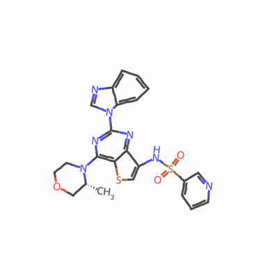 C[C@@H]1COCCN1c1nc(-n2cnc3ccccc32)nc2c(NS(=O)(=O)c3cccnc3)csc12